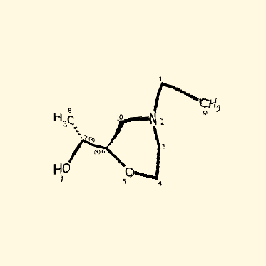 CCN1CCO[C@@H]([C@@H](C)O)C1